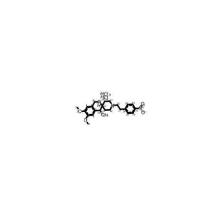 COc1cc2c(cc1OC)C(O)C1(CCN(CCc3ccc([N+](=O)[O-])cc3)CC1)NC2.Cl.Cl